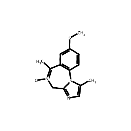 CSc1ccc2c(c1)C(C)=[N+]([O-])Cc1ncc(C)n1-2